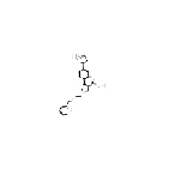 Nc1nc2cc(C3=NNCC3)ccc2c2nn(CCNC(=O)c3ccccn3)cc12